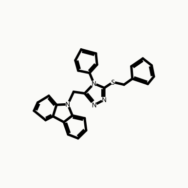 c1ccc(CSc2nnc(Cn3c4ccccc4c4ccccc43)n2-c2ccccc2)cc1